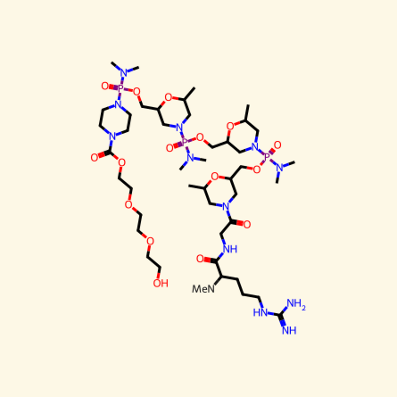 CNC(CCCNC(=N)N)C(=O)NCC(=O)N1CC(C)OC(COP(=O)(N(C)C)N2CC(C)OC(COP(=O)(N(C)C)N3CC(C)OC(COP(=O)(N(C)C)N4CCN(C(=O)OCCOCCOCCO)CC4)C3)C2)C1